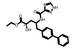 CCOC(=O)[C@H](O)CC(Cc1ccc(-c2ccccc2)cc1)NC(=O)c1nc[nH]n1